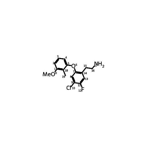 COc1cccc(Oc2cc(Cl)c(F)cc2CCN)c1C